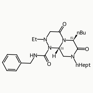 CCCCCCCN1C[C@H]2N(C(=O)CN(CC)N2C(=O)NCc2ccccc2)[C@@H](CCCC)C1=O